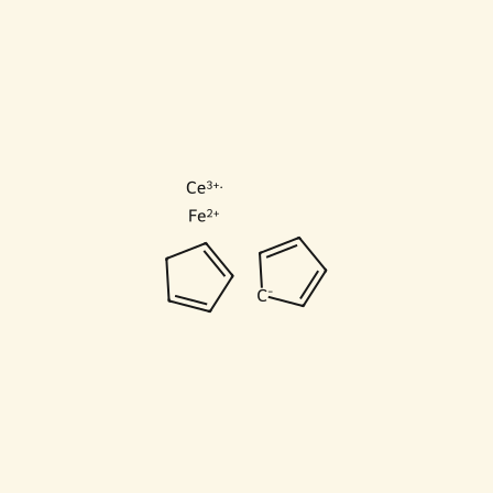 C1=CCC=C1.[Ce+3].[Fe+2].c1cc[cH-]c1